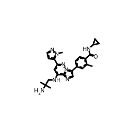 Cc1cc(-c2cnc3c(NCC(C)(C)N)cc(-c4ccnn4C)nn23)ccc1C(=O)NC1CC1